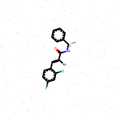 CC(=O)/C(=C\c1ccc(F)cc1Cl)C(=O)N[C@@H](C)c1ccccc1